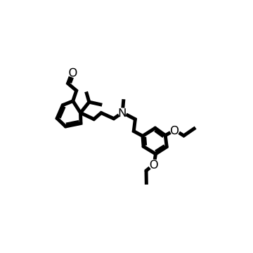 CCOc1cc(CCN(C)CCCC2(C(C)C)C=CC=CC2CC=O)cc(OCC)c1